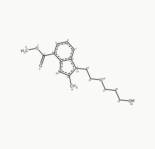 COC(=O)c1cccc2c1nc(C)n2CCOCCCO